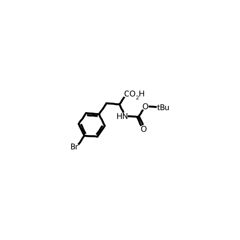 CC(C)(C)OC(=O)NC(Cc1ccc(Br)cc1)C(=O)O